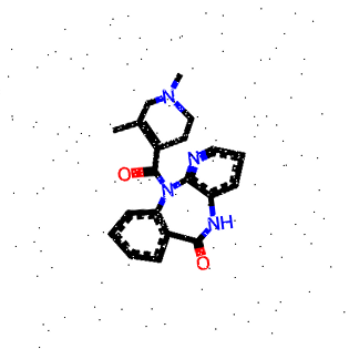 CC1=C(C(=O)N2c3ccccc3C(=O)Nc3cccnc32)CCN(C)C1